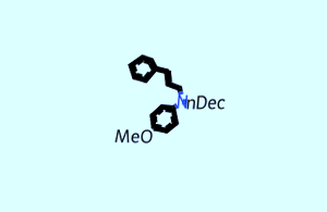 CCCCCCCCCCN(C/C=C/c1ccccc1)c1ccc(OC)cc1